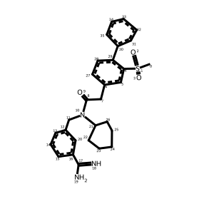 CS(=O)(=O)c1cc(CC(=O)N(Cc2cccc(C(=N)N)c2)C2CCCCC2)ccc1-c1ccccc1